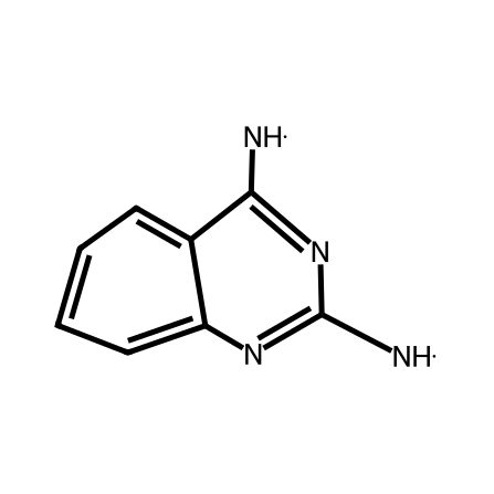 [NH]c1nc([NH])c2ccccc2n1